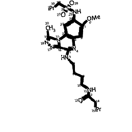 COc1cc2nc(NCCCCNC(=O)CC(C)C)c3nnc(C)n3c2cc1NS(=O)(=O)CC(C)C